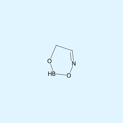 B1OCC=NO1